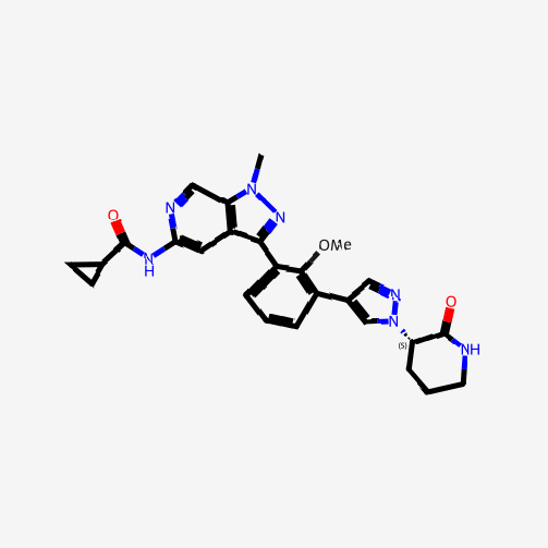 COc1c(-c2cnn([C@H]3CCCNC3=O)c2)cccc1-c1nn(C)c2cnc(NC(=O)C3CC3)cc12